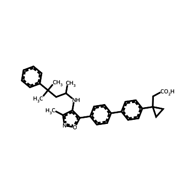 Cc1noc(-c2ccc(-c3ccc(C4(CC(=O)O)CC4)cc3)cc2)c1NC(C)CC(C)(C)c1ccccc1